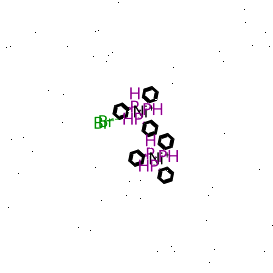 [Br-].[Br-].c1ccc([PH][Ni+]([PH]c2ccccc2)[PH]c2ccccc2)cc1.c1ccc([PH][Ni+]([PH]c2ccccc2)[PH]c2ccccc2)cc1